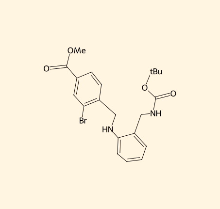 COC(=O)c1ccc(CNc2ccccc2CNC(=O)OC(C)(C)C)c(Br)c1